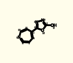 Oc1nnc(C2=CC=C=NC=C2)o1